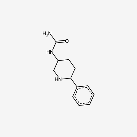 NC(=O)NC1CCC(c2ccccc2)NC1